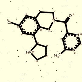 Cc1cc(C(=O)N2CCc3cc(Cl)cc(C4CCCN4)c3C2)ncn1